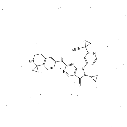 N#CC1(c2cc(-n3c4nc(Nc5ccc6c(c5)CCNC65CC5)ncc4c(=O)n3C3CC3)ccn2)CC1